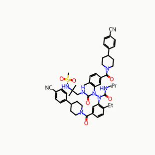 CCc1ccc(C(=O)N2CCC(c3ccc(C#N)cc3)CC2)cc1N(C(=O)NC(C)C)N(C(=O)NCC(C)(C)NS(C)(=O)=O)c1cc(C(=O)N2CCC(c3ccc(C#N)cc3)CC2)ccc1C